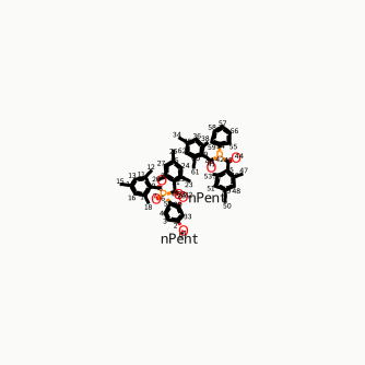 CCCCCOc1ccc(P(=O)(C(=O)c2c(C)cc(C)cc2C)C(=O)c2c(C)cc(C)cc2C)c(OCCCCC)c1.Cc1cc(C)c(C(=O)P(C(=O)c2c(C)cc(C)cc2C)c2ccccc2)c(C)c1